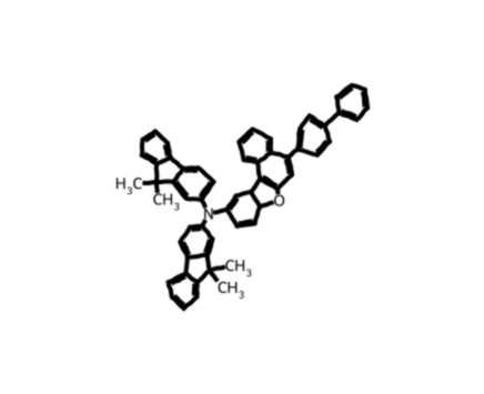 CC1(C)c2ccccc2-c2ccc(N(C3=CC4c5c(cc(-c6ccc(-c7ccccc7)cc6)c6ccccc56)OC4C=C3)c3ccc4c(c3)C(C)(C)c3ccccc3-4)cc21